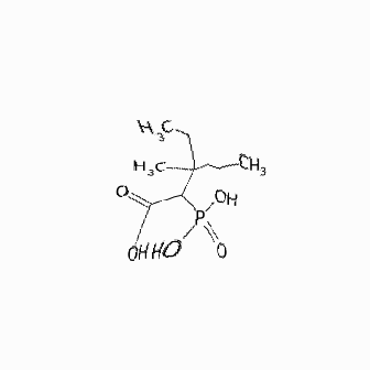 CCC(C)(CC)C(C(=O)O)P(=O)(O)O